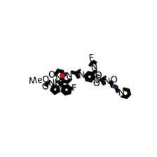 COC(=O)N[C@H]1CCC[C@@H]1C(CN1CCCC1=O)(c1cccc(F)c1)C1CCN(CC2CN(c3ccc(S(=O)(=O)C4CN(C(=O)/C=C/CN5CCCCC5)C4)c(CN4CC(F)C4)c3)C2)CC1